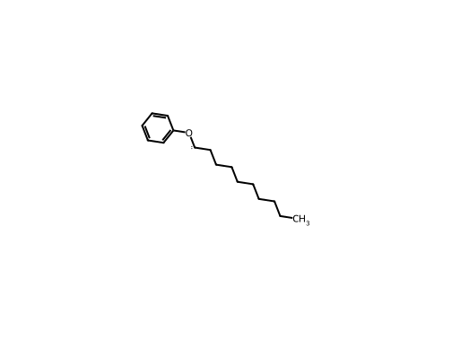 CCCCCCCCC[C]Oc1ccccc1